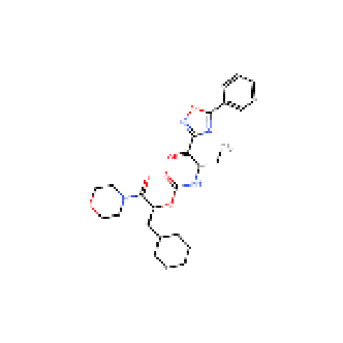 CC[C@H](NC(=O)O[C@@H](CC1CCCCC1)C(=O)N1CCOCC1)C(=O)c1noc(-c2ccccc2)n1